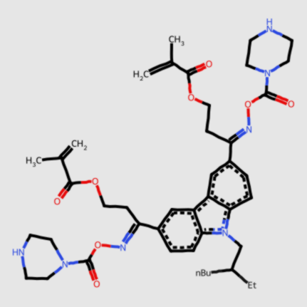 C=C(C)C(=O)OCC/C(=N\OC(=O)N1CCNCC1)c1ccc2c(c1)c1cc(/C(CCOC(=O)C(=C)C)=N/OC(=O)N3CCNCC3)ccc1n2CC(CC)CCCC